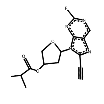 C#Cc1nc2cnc(F)nc2n1C1CC(OC(=O)C(C)C)CO1